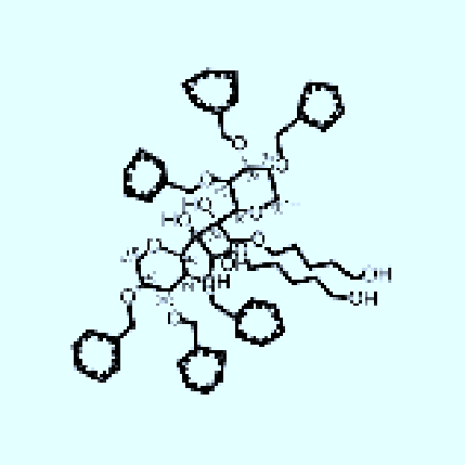 C[C@@H]1O[C@@H]([C@@](O)(C(O)OCCCCCO)[C@](O)(C(O)OCCCCCO)[C@@H]2O[C@@H](C)[C@@H](OCc3ccccc3)[C@@H](OCc3ccccc3)[C@@H]2OCc2ccccc2)[C@@H](OCc2ccccc2)[C@H](OCc2ccccc2)[C@@H]1OCc1ccccc1